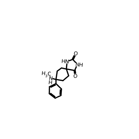 CNC1(c2ccccc2)CCC2(CC1)NC(=O)NC2=O